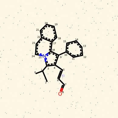 CC(C)c1c(/C=C/C=O)c(-c2ccccc2)c2c3ccccc3ccn12